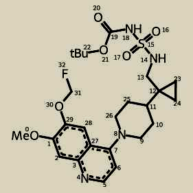 COc1cc2nccc(N3CCC(C4(CNS(=O)(=O)NC(=O)OC(C)(C)C)CC4)CC3)c2cc1OCF